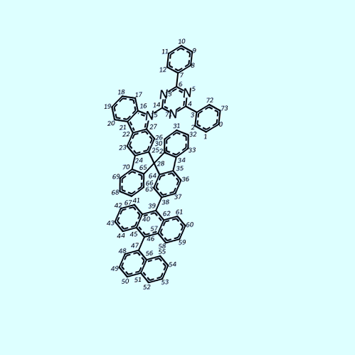 c1ccc(-c2nc(-c3ccccc3)nc(-n3c4ccccc4c4cc5c(cc43)C3(c4ccccc4-c4ccc(-c6c7ccccc7c(-c7cccc8ccccc78)c7ccccc67)cc43)c3ccccc3-5)n2)cc1